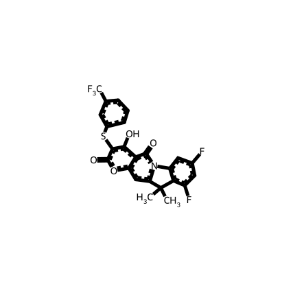 CC1(C)c2c(F)cc(F)cc2-n2c1cc1oc(=O)c(Sc3cccc(C(F)(F)F)c3)c(O)c1c2=O